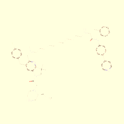 COC[C@H]1CN[C@H](C)CN1CC(=O)N1CC(C)(C)c2nc(CN(C)CCOCCOCCOCCN[C@H](Cc3cccc(F)c3)C(=O)Nc3ccc(-c4ccncc4)cc3)c(Cc3ccc(F)cc3)cc21